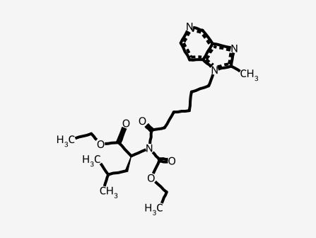 CCOC(=O)[C@H](CC(C)C)N(C(=O)CCCCCn1c(C)nc2cnccc21)C(=O)OCC